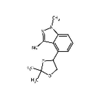 Cn1nc(C#N)c2c(C3COC(C)(C)O3)cccc21